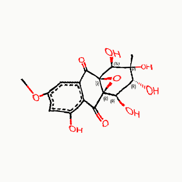 COc1cc(O)c2c(c1)C(=O)[C@@]13O[C@]1(C2=O)[C@H](O)[C@@H](O)[C@@](C)(O)[C@@H]3O